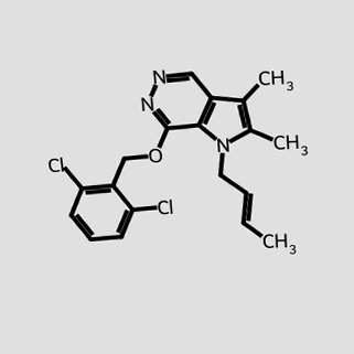 C/C=C/Cn1c(C)c(C)c2cnnc(OCc3c(Cl)cccc3Cl)c21